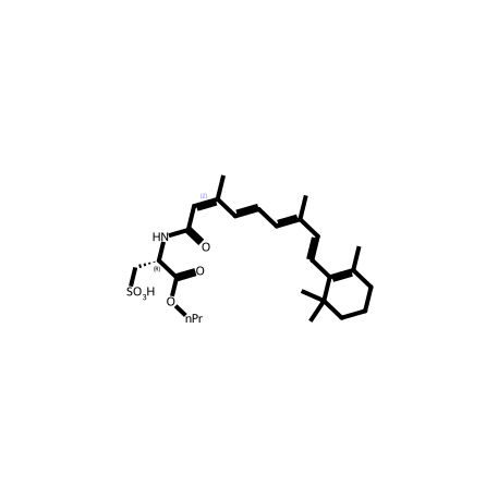 CCCOC(=O)[C@H](CS(=O)(=O)O)NC(=O)/C=C(/C)C=CC=C(C)C=CC1=C(C)CCCC1(C)C